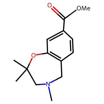 COC(=O)c1ccc2c(c1)OC(C)(C)CN(C)C2